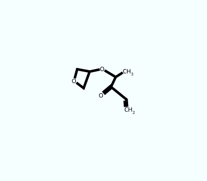 C=CC(=O)C(C)OC1COC1